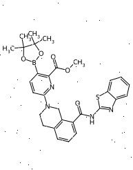 COC(=O)c1nc(N2CCc3cccc(C(=O)Nc4nc5ccccc5s4)c3C2)ccc1B1OC(C)(C)C(C)(C)O1